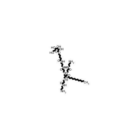 CCCCCCCCCCCC(=O)NC(COCCC(=O)NCCCN)(COCCC(=O)NCCCN)COCCC(=O)NCCCNC(=O)CCCCO[C@H]1OC(CO)[C@@H](O)C(O)C1O